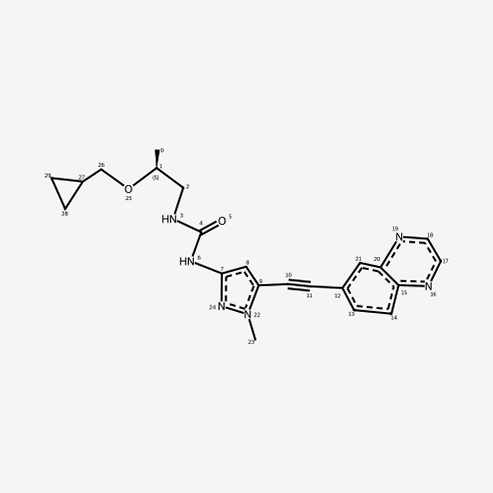 C[C@@H](CNC(=O)Nc1cc(C#Cc2ccc3nccnc3c2)n(C)n1)OCC1CC1